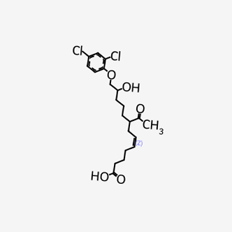 CC(=O)C(C/C=C\CCCC(=O)O)CCCC(O)COc1ccc(Cl)cc1Cl